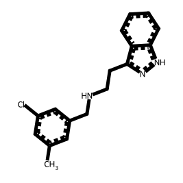 Cc1cc(Cl)cc(CNCCc2n[nH]c3ccccc23)c1